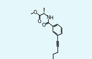 COC(=O)[C@@H](C)NC(=O)c1cccc(C#CCCCN)c1